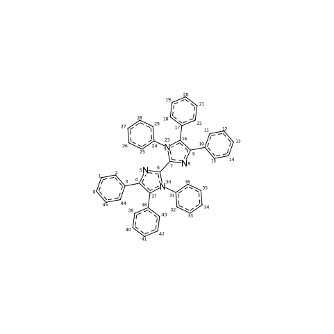 c1ccc(-c2nc(-c3nc(-c4ccccc4)c(-c4ccccc4)n3-c3ccccc3)n(-c3ccccc3)c2-c2ccccc2)cc1